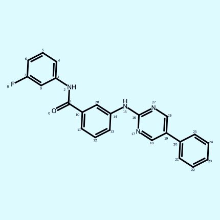 O=C(Nc1cccc(F)c1)c1cccc(Nc2ncc(-c3ccccc3)cn2)c1